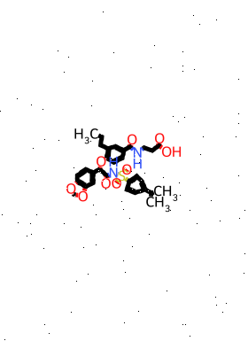 CCCc1cc(C(=O)NCCC(=O)O)ccc1OC(C(=O)NS(=O)(=O)c1ccc(C(C)C)cc1)c1ccc2c(c1)OCO2